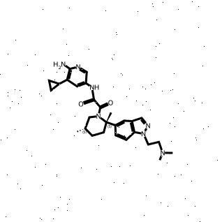 C[C@H]1CC[C@@](C)(c2ccc3c(cnn3CCN(C)C)c2)N(C(=O)C(=O)Nc2cnc(N)c(C3CC3)c2)C1